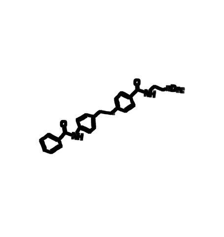 CCCCCCCCCCCCNC(=O)c1ccc([CH]Cc2ccc(NC(=O)c3ccccc3)cc2)cc1